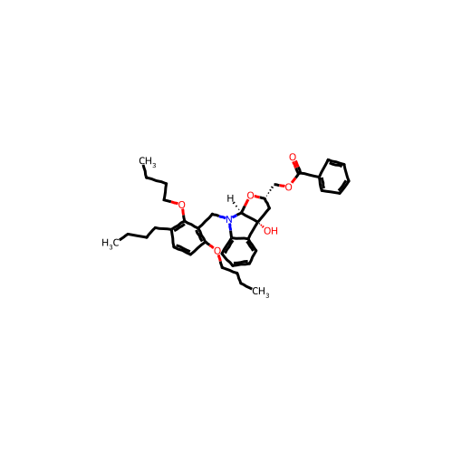 CCCCOc1ccc(CCCC)c(OCCCC)c1CN1c2ccccc2[C@]2(O)C[C@@H](COC(=O)c3ccccc3)O[C@H]12